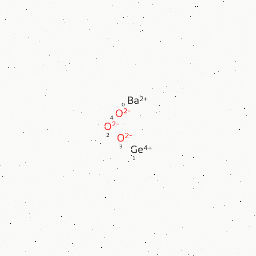 [Ba+2].[Ge+4].[O-2].[O-2].[O-2]